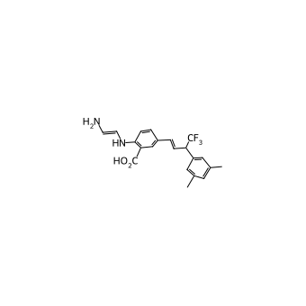 Cc1cc(C)cc(C(/C=C/c2ccc(N/C=C/N)c(C(=O)O)c2)C(F)(F)F)c1